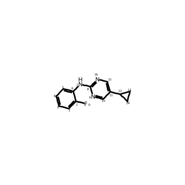 Fc1ccccc1Nc1ncc(C2CC2)cn1